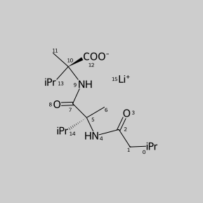 CC(C)CC(=O)N[C@](C)(C(=O)N[C@](C)(C(=O)[O-])C(C)C)C(C)C.[Li+]